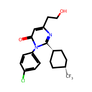 O=c1cc(CCO)nc([C@H]2CC[C@@H](C(F)(F)F)CC2)n1-c1ccc(Cl)cc1